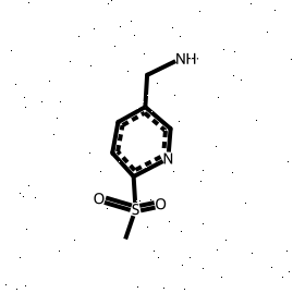 CS(=O)(=O)c1ccc(C[NH])cn1